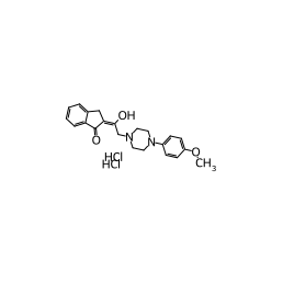 COc1ccc(N2CCN(CC(O)=C3Cc4ccccc4C3=O)CC2)cc1.Cl.Cl